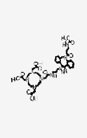 CC(=O)NCCC(=O)N1Cc2ccccc2-c2c(nnn2CCCNC(=O)CN2CCN(CC(=O)O)CCN(CC(=O)O)CCN(CC(=O)O)CC2)-c2ccccc21